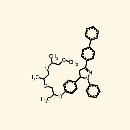 COCC(C)OCC(C)OCC(C)Oc1ccc(C2CC(c3ccc(-c4ccccc4)cc3)=NN2c2ccccc2)cc1